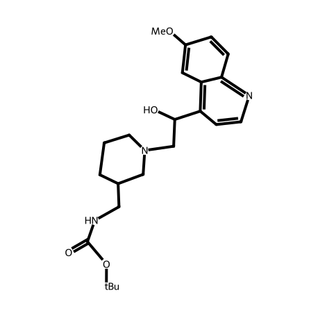 COc1ccc2nccc(C(O)CN3CCCC(CNC(=O)OC(C)(C)C)C3)c2c1